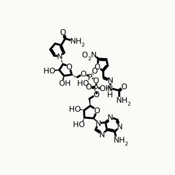 NC(=O)C1=CN([C@@H]2O[C@H](COP(=O)(O)OP(=O)(O)OC[C@H]3O[C@@H](n4cnc5c(N)ncnc54)[C@H](O)[C@@H]3O)[C@@H](O)[C@H]2O)C=CC1.NC(=O)N/N=C/c1ccc([N+](=O)[O-])o1